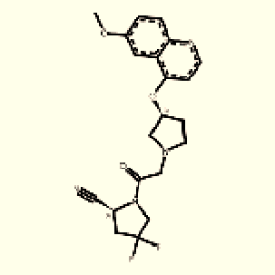 COc1ccc2nccc(O[C@H]3CCN(CC(=O)N4CC(F)(F)C[C@H]4C#N)C3)c2c1